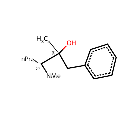 CCC[C@@H](NC)[C@@](C)(O)Cc1ccccc1